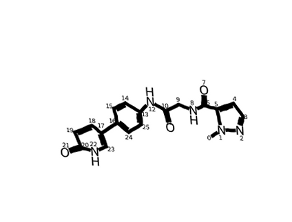 Cn1nccc1C(=O)NCC(=O)Nc1ccc(-c2ccc(=O)[nH]c2)cc1